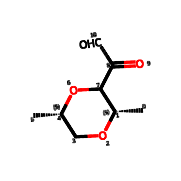 C[C@@H]1OC[C@H](C)OC1C(=O)C=O